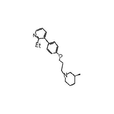 CCc1ncccc1-c1ccc(OCCCN2CCC[C@H](C)C2)cc1